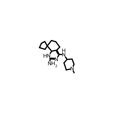 CN1CCC(NC2=C3CCCC4(CCCC4)C3NC(N)=N2)CC1